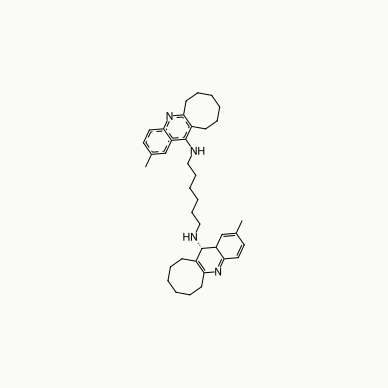 CC1=CC2C(=NC3=C(CCCCCC3)[C@@H]2NCCCCCCNc2c3c(nc4ccc(C)cc24)CCCCCC3)C=C1